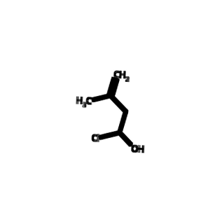 C=C(C)CC(O)Cl